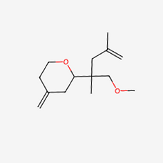 C=C(C)CC(C)(COC)C1CC(=C)CCO1